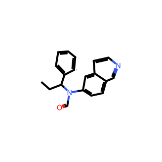 CCC(c1[c]cccc1)N(C=O)c1ccc2cnccc2c1